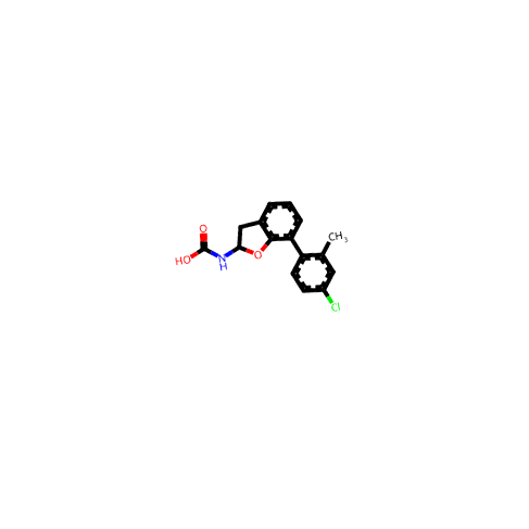 Cc1cc(Cl)ccc1-c1cccc2c1OC(NC(=O)O)C2